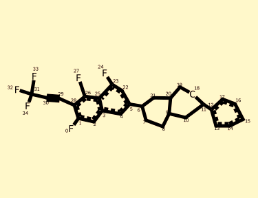 Fc1cc2cc(C3CCC4CC(c5ccccc5)CCC4C3)cc(F)c2c(F)c1C#CC(F)(F)F